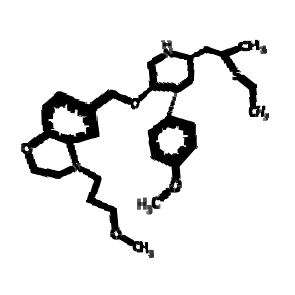 CCSC(C)C[C@H]1C[C@H](c2ccc(OC)cc2)[C@@H](OCc2ccc3c(c2)N(CCCOC)CCO3)CN1